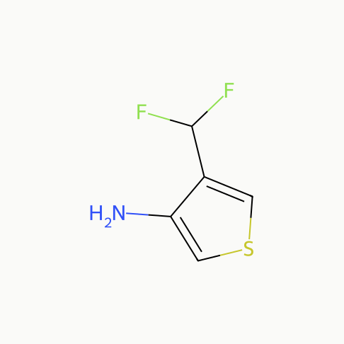 Nc1cscc1C(F)F